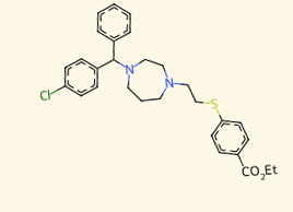 CCOC(=O)c1ccc(SCCN2CCCN(C(c3ccccc3)c3ccc(Cl)cc3)CC2)cc1